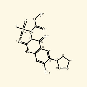 CC(C)OC(=O)N(n1c(=O)[nH]c2cc(C(F)(F)F)c([C@H]3CCCO3)cc2c1=O)S(C)(=O)=O